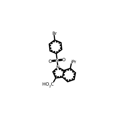 CC(C)c1cccc2c(C(=O)O)cn(S(=O)(=O)c3ccc(Br)cc3)c12